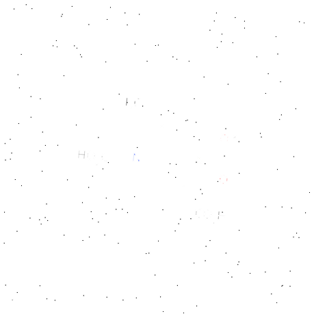 C[C@@H]1CS(=O)(=O)C(C(=O)O)CN1C(=O)O